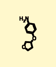 Nc1ccc(OC2CCOC2)cc1